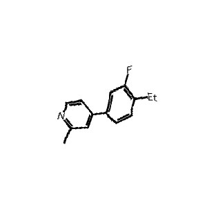 CCc1ccc(-c2ccnc(C)c2)cc1F